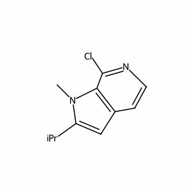 CC(C)c1cc2ccnc(Cl)c2n1C